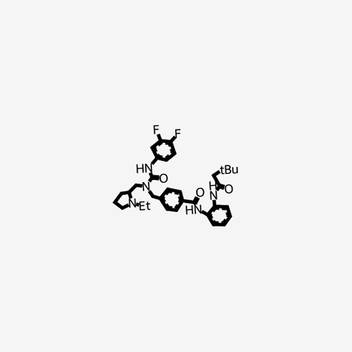 CCN1CCCC1CN(Cc1ccc(C(=O)Nc2ccccc2NC(=O)CC(C)(C)C)cc1)C(=O)Nc1ccc(F)c(F)c1